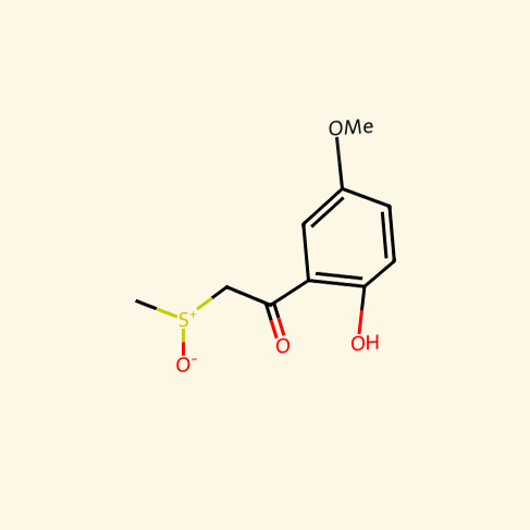 COc1ccc(O)c(C(=O)C[S+](C)[O-])c1